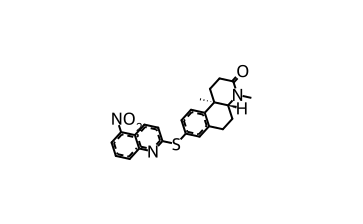 CN1C(=O)CC[C@]2(C)c3ccc(Sc4ccc5c([N+](=O)[O-])cccc5n4)cc3CC[C@@H]12